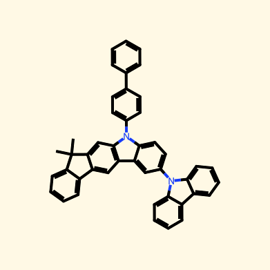 CC1(C)c2ccccc2-c2cc3c4cc(-n5c6ccccc6c6ccccc65)ccc4n(-c4ccc(-c5ccccc5)cc4)c3cc21